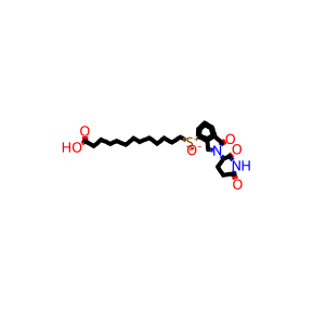 O=C(O)CCCCCCCCCCCC[S+]([O-])c1cccc2c1CN(C1CCC(=O)NC1=O)C2=O